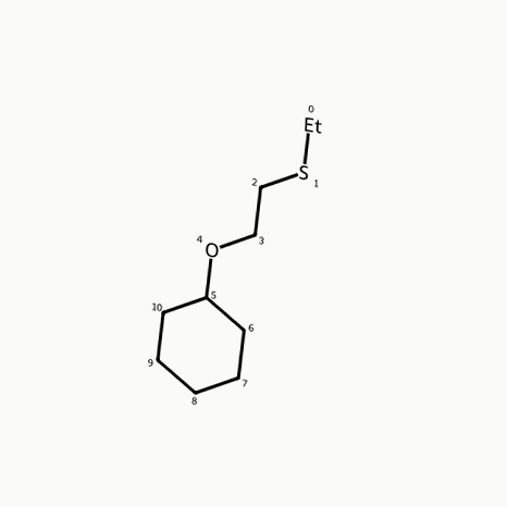 CCSCCOC1CCCCC1